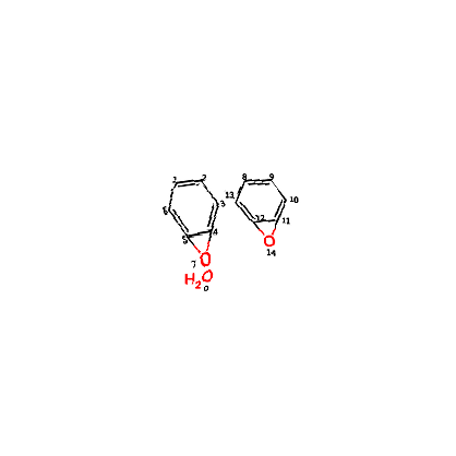 O.c1ccc2c(c1)O2.c1ccc2c(c1)O2